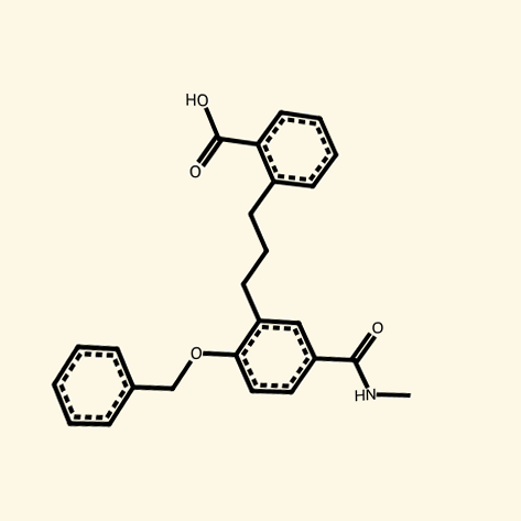 CNC(=O)c1ccc(OCc2ccccc2)c(CCCc2ccccc2C(=O)O)c1